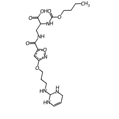 CCCCOC(=O)NC(CNC(=O)c1cc(OCCCNC2NC=CCN2)no1)C(=O)O